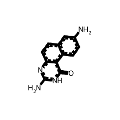 Nc1ccc2c(ccc3nc(N)[nH]c(=O)c32)c1